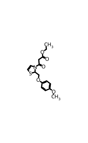 CCOC(=O)CC(=O)N1C=CSC1COc1ccc(OC)cc1